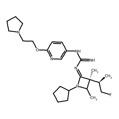 CC1N(C2CCCC2)/C(=N/C(=N)Nc2ccc(OCCN3CCCC3)nc2)[C@@]1(C)[C@@H](C)CF